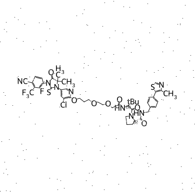 Cc1ncsc1-c1ccc(CNC(=O)[C@@H]2CCCN2C(=O)[C@@H](NC(=O)COCCOCCCOc2ncc(N3C(=S)N(c4ccc(C#N)c(C(F)(F)F)c4F)C(=O)C3(C)C)cc2Cl)C(C)(C)C)cc1